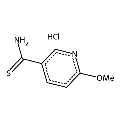 COc1ccc(C(N)=S)cn1.Cl